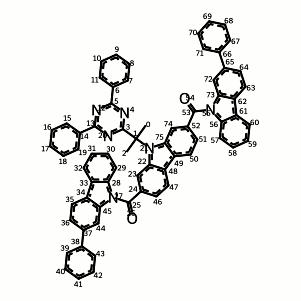 CC(C)(c1nc(-c2ccccc2)nc(-c2ccccc2)n1)n1c2cc(C(=O)n3c4ccccc4c4ccc(-c5ccccc5)cc43)ccc2c2ccc(C(=O)n3c4ccccc4c4ccc(-c5ccccc5)cc43)cc21